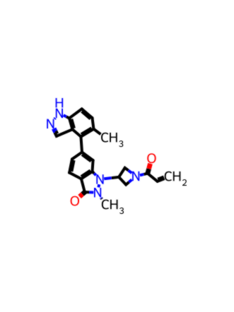 C=CC(=O)N1CC(n2c3cc(-c4c(C)ccc5[nH]ncc45)ccc3c(=O)n2C)C1